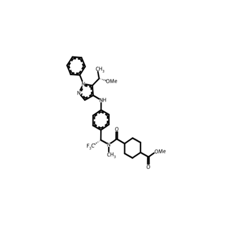 COC(=O)C1CCC(C(=O)N(C)[C@@H](c2ccc(Nc3cnn(-c4ccccc4)c3[C@H](C)OC)cc2)C(F)(F)F)CC1